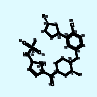 C[C@H]1CN(C(=O)N2C=CC(NS(C)(=O)=O)N2)CCN1Cc1ccc(Cl)c(N2CC[C@H](F)C2)c1